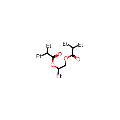 CCC(COC(=O)C(CC)CC)OC(=O)C(CC)CC